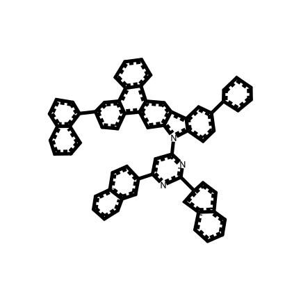 c1ccc(-c2ccc3c(c2)c2cc4c5ccccc5c5cc(-c6cccc7ccccc67)ccc5c4cc2n3-c2cc(-c3ccc4ccccc4c3)nc(-c3ccc4ccccc4c3)n2)cc1